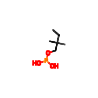 CCC(C)(C)COP(O)O